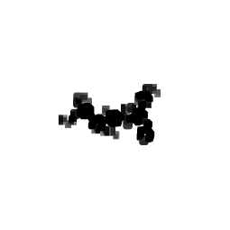 COc1ccc(-c2cnc(N)c(-c3ccc(NC(=O)c4cn(CC5CCOCC5)cc(-c5ncc(C)cn5)c4=O)cc3F)c2)cc1OC